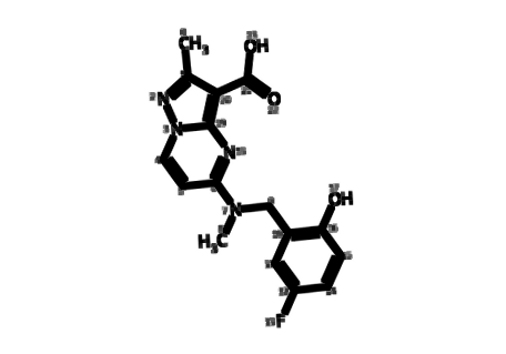 Cc1nn2ccc(N(C)Cc3cc(F)ccc3O)nc2c1C(=O)O